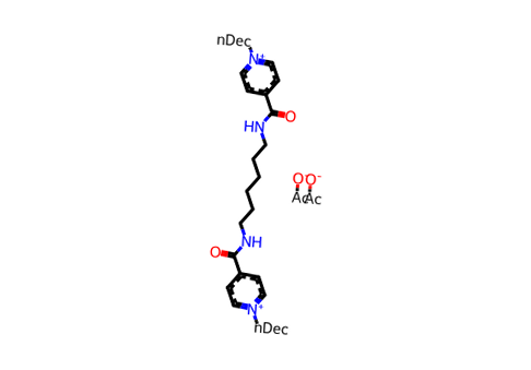 CC(=O)[O-].CC(=O)[O-].CCCCCCCCCC[n+]1ccc(C(=O)NCCCCCCNC(=O)c2cc[n+](CCCCCCCCCC)cc2)cc1